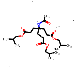 CC(=O)NC(CCC(=O)OCC(C)C)(CCC(=O)OCC(C)C)CCC(=O)OCC(C)C